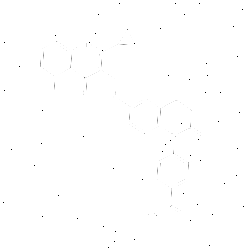 Cc1cccc(Cl)c1C(=N)/C(COc1ccc2c(c1)CCC(=O)N2c1ccc(C(=O)N=O)cc1Cl)=C(\O)C1CC1